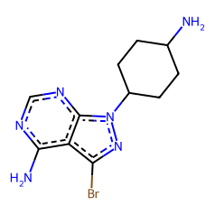 Nc1ncnc2c1c(Br)nn2C1CCC(N)CC1